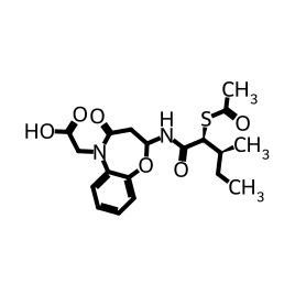 CC[C@H](C)[C@H](SC(C)=O)C(=O)NC1CC(=O)N(CC(=O)O)c2ccccc2O1